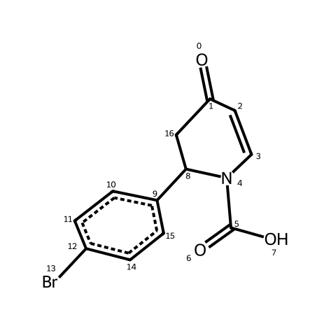 O=C1C=CN(C(=O)O)C(c2ccc(Br)cc2)C1